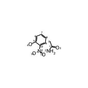 CC(N)=O.[O]c1ccccc1[N+](=O)[O-]